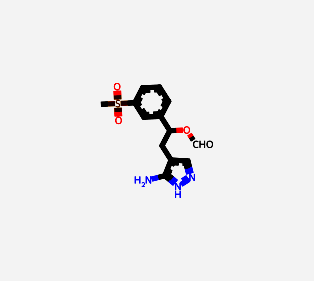 CS(=O)(=O)c1cccc(C(Cc2cn[nH]c2N)OC=O)c1